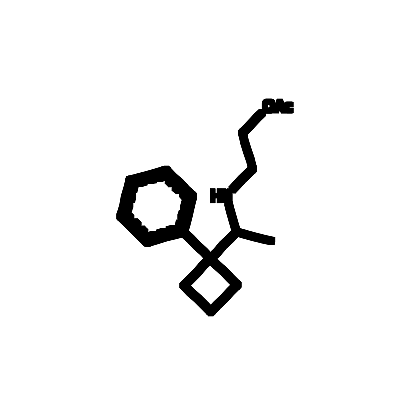 CC(=O)OCCNC(C)C1(c2ccccc2)CCC1